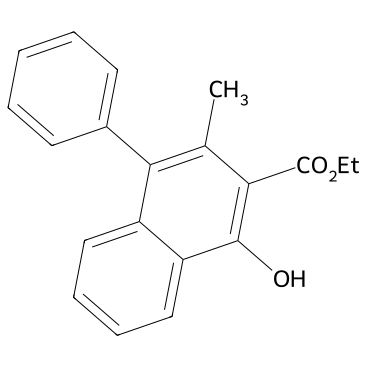 CCOC(=O)c1c(C)c(-c2ccccc2)c2ccccc2c1O